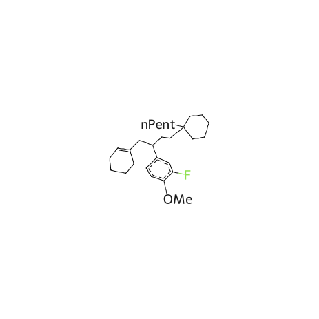 CCCCCC1(CCC(CC2=CCCCC2)c2ccc(OC)c(F)c2)CCCCC1